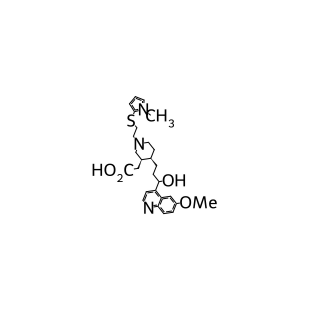 COc1ccc2nccc(C(O)CC[C@@H]3CCN(CCSc4cccn4C)C[C@@H]3CC(=O)O)c2c1